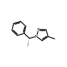 Cc1cnn([C@H](C)c2ccccc2)c1